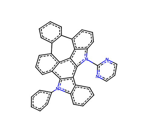 c1ccc(-n2c3ccccc3c3c2c2cccc4c2c2c5c(cccc5n(-c5ncccn5)c23)-c2ccccc2-4)cc1